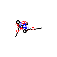 CCCCCCOCCCSc1ccccc1NC(=O)C(C1=Nc2ccccc2S(=O)(=O)N1CCCOCCCC)N1C(=O)OC(C)(C)C1=O